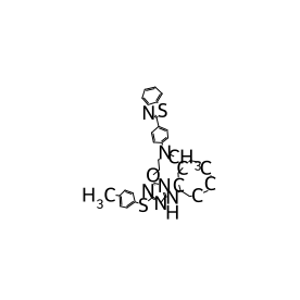 Cc1ccc(Sc2nc(NC3CCCCCCCCCCC3)nc(OCCN(C)c3ccc(-c4nc5ccccc5s4)cc3)n2)cc1